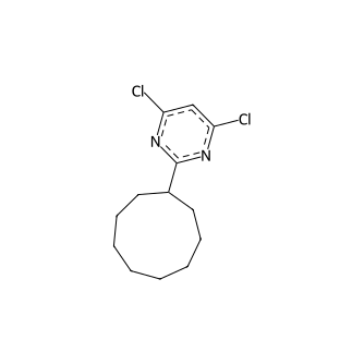 Clc1cc(Cl)nc(C2CCCCCCCC2)n1